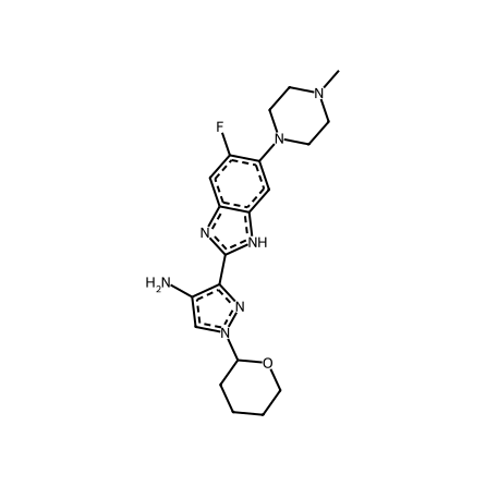 CN1CCN(c2cc3[nH]c(-c4nn(C5CCCCO5)cc4N)nc3cc2F)CC1